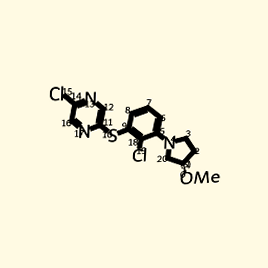 CO[C@H]1CCN(c2cccc(Sc3cnc(Cl)cn3)c2Cl)C1